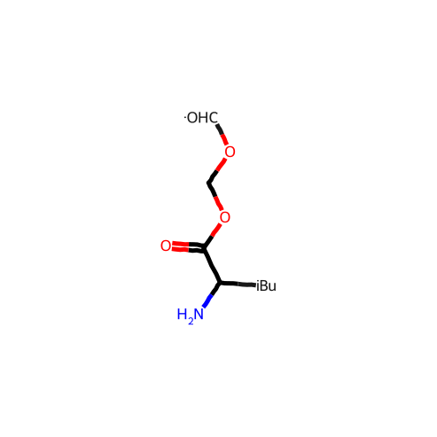 CCC(C)C(N)C(=O)OCO[C]=O